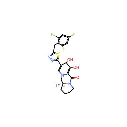 O=C1C2=C(O)C(O)C(c3nnc(Cc4c(F)cc(F)cc4F)s3)=CN2C[C@@H]2CCCCN12